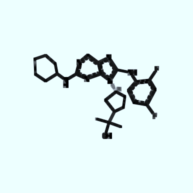 CC(C)(O)C1CC[C@@H](n2c(Nc3ccc(F)cc3F)nc3cnc(NC4CCCCC4)nc32)C1